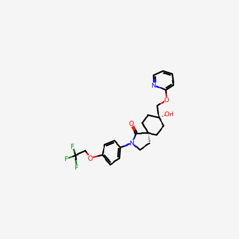 O=C1N(c2ccc(OCC(F)(F)F)cc2)CC[C@]12CC[C@](O)(COc1ccccn1)CC2